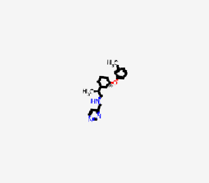 Cc1cccc(O[C@@H]2CCCC(C(C)CNCc3ccncn3)C2)c1